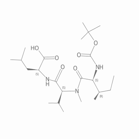 CC[C@@H](C)[C@H](NC(=O)OC(C)(C)C)C(=O)N(C)[C@H](C(=O)N[C@@H](CC(C)C)C(=O)O)C(C)C